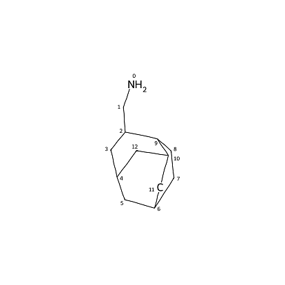 NCC1CC2CC3CCC1C(C3)C2